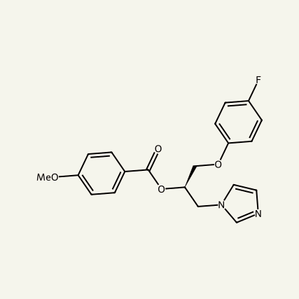 COc1ccc(C(=O)O[C@@H](COc2ccc(F)cc2)Cn2ccnc2)cc1